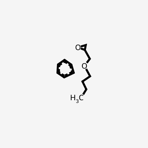 CCCCOCC1CO1.c1ccccc1